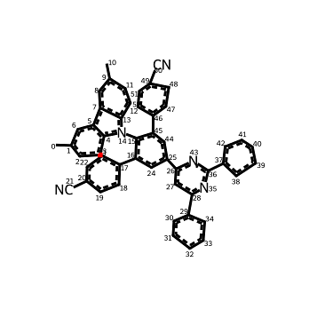 Cc1ccc2c(c1)c1cc(C)ccc1n2-c1c(-c2ccc(C#N)cc2)cc(-c2cc(-c3ccccc3)nc(-c3ccccc3)n2)cc1-c1ccc(C#N)cc1